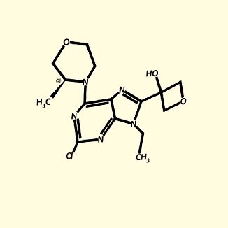 CCn1c(C2(O)COC2)nc2c(N3CCOC[C@@H]3C)nc(Cl)nc21